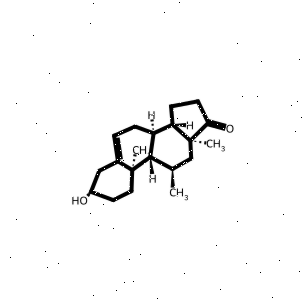 C[C@@H]1C[C@]2(C)C(=O)CC[C@H]2[C@@H]2CC=C3C[C@@H](O)CC[C@]3(C)[C@H]21